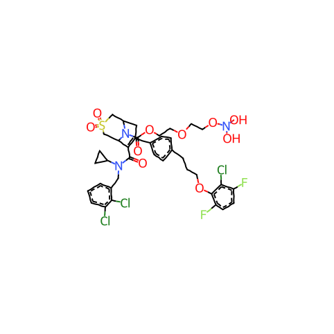 O=C(C1=C(c2ccc(CCCOc3c(F)ccc(F)c3Cl)cc2)CC2CS(=O)(=O)CC1N2C(=O)OCCOCCON(O)O)N(Cc1cccc(Cl)c1Cl)C1CC1